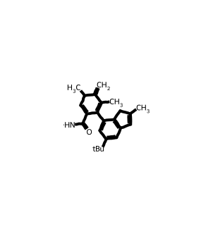 C=C1C(C)=C(c2cc(C(C)(C)C)cc3c2CC(C)=C3)C(C([NH])=O)=CC1C